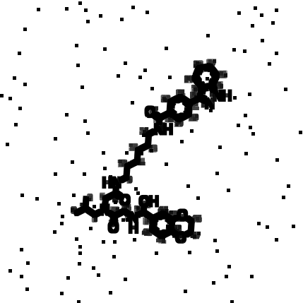 CC(C)CN(CC(=O)NCCCCCCNC(=O)c1ccc(-c2n[nH]c3ccccc23)cc1)C(=O)CNC(O)c1ccc2c(c1)OCCO2